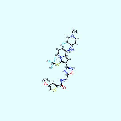 COc1csc(C(=O)NCc2nc(-c3cc4c(N[C@@H]5CCN(C)C[C@@H]5F)cccn4c3SC(F)(F)F)no2)c1